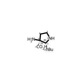 CCCC[C@H]1NCC[C@@]1(N)C(=O)O